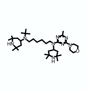 Cc1nc(N2CCOCC2)nc(N(CCCCCCN(C2CC(C)(C)NC(C)(C)C2)C(C)(C)C)C2CC(C)(C)NC(C)(C)C2)n1